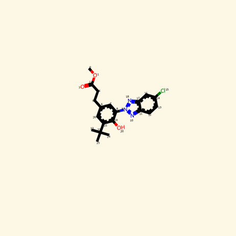 COC(=O)CCc1cc(-n2nc3ccc(Cl)cc3n2)c(O)c(C(C)(C)C)c1